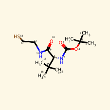 CC(C)(C)OC(=O)N[C@@H](C(=O)NCCS)C(C)(C)C